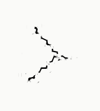 C=C(C)C(=O)OCCC(=O)NCC[N+](C)(CCCCCCCCCCCC)CCNC(=O)CCOC(=O)C(=C)C.[I-]